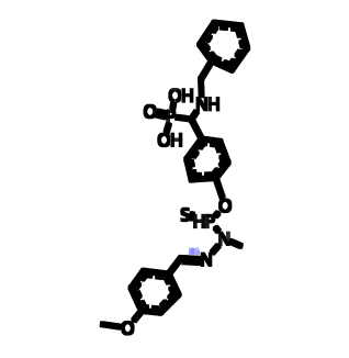 COc1ccc(/C=N/N(C)[PH](=S)Oc2ccc(C(NCc3ccccc3)P(=O)(O)O)cc2)cc1